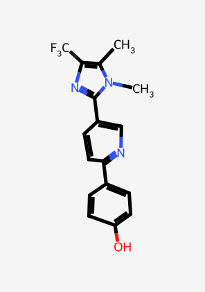 Cc1c(C(F)(F)F)nc(-c2ccc(-c3ccc(O)cc3)nc2)n1C